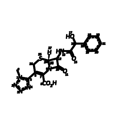 Cn1nnnc1C1=C(C(=O)O)N2C(=O)C(NC(=O)C(O)c3ccccc3)[C@@H]2SC1